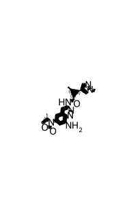 C[C@@H]1[C@H](C(=O)Nc2cc3cc(N4C(=O)OC[C@@H]4C)cc(N)c3nn2)[C@H]1c1cnn(C)c1